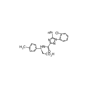 CCCc1nc(C(=O)N[C@@H](CC(=O)O)c2ccc(C)cc2)nn1-c1ccccc1Cl